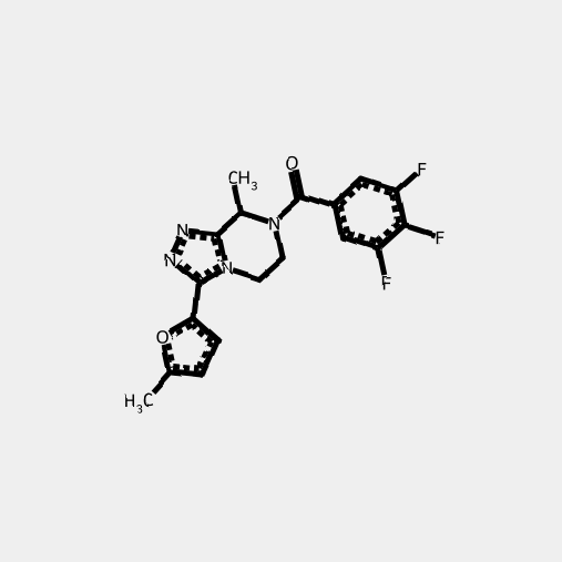 Cc1ccc(-c2nnc3n2CCN(C(=O)c2cc(F)c(F)c(F)c2)C3C)o1